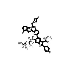 CCS(=O)(=O)Nc1cc2oc(-c3ccc(F)cc3)c(C(=O)NC)c2cc1-c1ccc2nc(CN3CC(F)C3)n3c4cccc(F)c4cc3c2n1.CS(=O)(=O)O